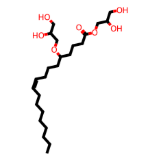 CCCCCCCC/C=C\CCCC(CCCC(=O)OCC(O)CO)OCC(O)CO